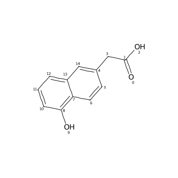 O=C(O)Cc1ccc2c(O)cccc2c1